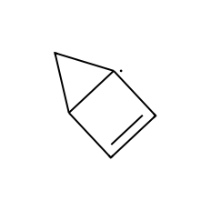 C1=CC2C[C]12